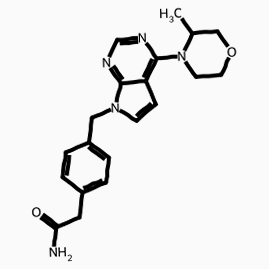 CC1COCCN1c1ncnc2c1ccn2Cc1ccc(CC(N)=O)cc1